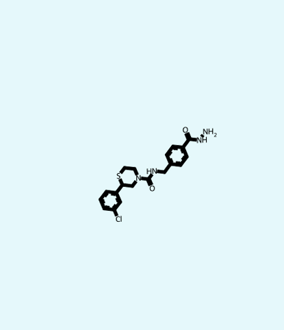 NNC(=O)c1ccc(CNC(=O)N2CCSC(c3cccc(Cl)c3)C2)cc1